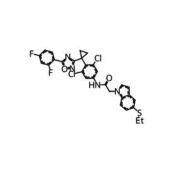 CCSc1ccc2c(ccn2CC(=O)Nc2cc(Cl)c(C3(c4noc(-c5ccc(F)cc5F)n4)CC3)c(Cl)c2)c1